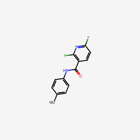 CC(C)(C)c1ccc(NC(=O)c2ccc(F)nc2F)cc1